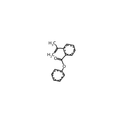 C=C(C)c1ccccc1C(=O)Oc1ccccc1